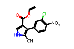 C=COC(=O)c1c[nH]c(C#N)c1-c1ccc([N+](=O)[O-])c(Cl)c1